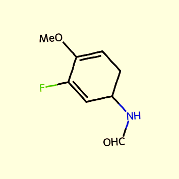 COC1=CCC(NC=O)C=C1F